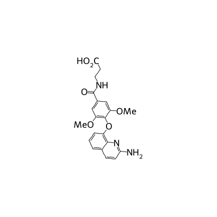 COc1cc(C(=O)NCCC(=O)O)cc(OC)c1Oc1cccc2ccc(N)nc12